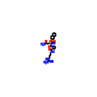 N=C(N)NCCCCNC(=O)[C@@H]1CCCN1C(=O)[C@H](CCC(N)=O)NS(=O)(=O)c1ccc2ccccc2c1